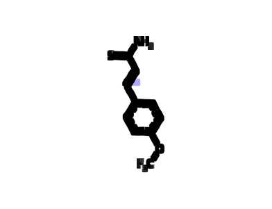 NC(=S)/C=C/c1ccc(OC(F)(F)F)cc1